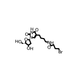 O=C(CCCBr)NCCCCc1cn([C@@H]2CC(O)[C@H](CO)O2)c(=O)[nH]c1=O